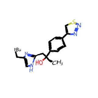 CC(C)(C)Cc1c[nH]c(CC(C)(O)c2ccc(-c3csnn3)cc2)n1